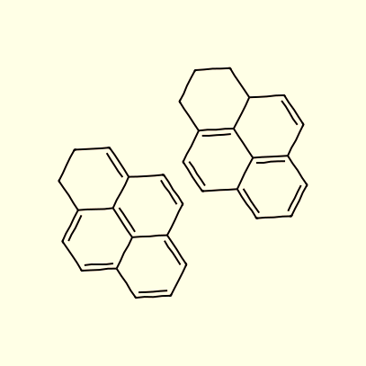 C1=CC2CCCc3ccc4cccc1c4c32.C1=c2ccc3cccc4ccc(c2c43)CC1